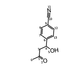 CC(=O)CC(O)c1ccc(C#N)cc1